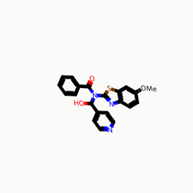 COc1ccc2nc(N(C(=O)c3ccccc3)C(O)c3ccncc3)sc2c1